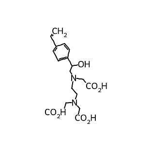 C=Cc1ccc(C(O)CN(CCN(CC(=O)O)CC(=O)O)CC(=O)O)cc1